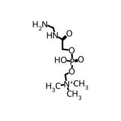 C[N+](C)(C)COP(=O)(O)OCC(=O)NCN